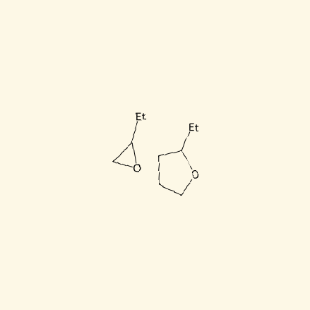 CCC1CCCO1.CCC1CO1